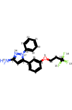 Nc1cc(-c2cccc(OCCC(F)(F)F)c2)n(-c2ccccc2)n1